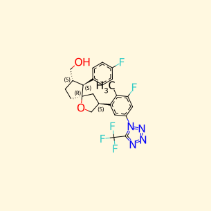 Cc1c(F)cc(-n2nnnc2C(F)(F)F)cc1[C@H]1CO[C@]2(CC[C@H](CO)[C@H]2c2ccc(F)cc2)C1